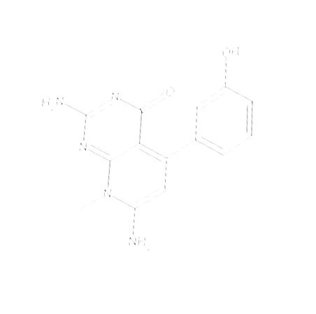 Cn1c(N)cc(-c2cccc(O)c2)c2c(=O)nc(N)nc1-2